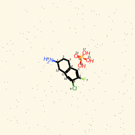 NC1CCc2cc(F)c(Cl)cc2C1.O=P(O)(O)O